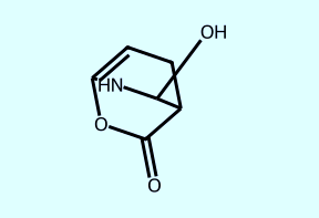 O=C1OC2=CCC1C(O)N2